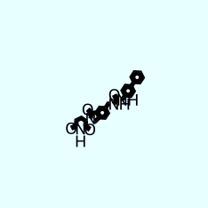 O=C1CCC(N2Cc3ccc(CNC(=O)Nc4ccc(-c5ccccc5)cc4)cc3C2=O)C(=O)N1